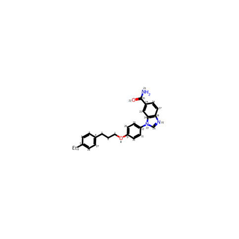 CCc1ccc(CCCOc2ccc(-n3cnc4ccc(C(N)=O)cc43)cc2)cc1